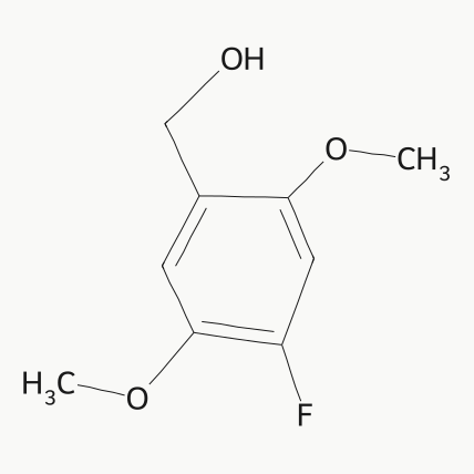 COc1cc(CO)c(OC)cc1F